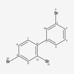 Brc1cccc(-c2ccc(Br)cc2Br)c1